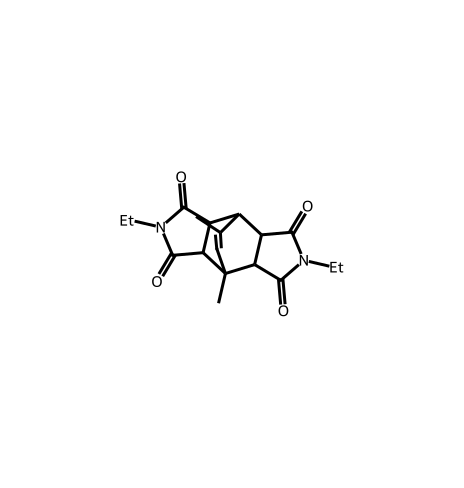 CCN1C(=O)C2C3C(C)=CC(C)(C2C1=O)C1C(=O)N(CC)C(=O)C31